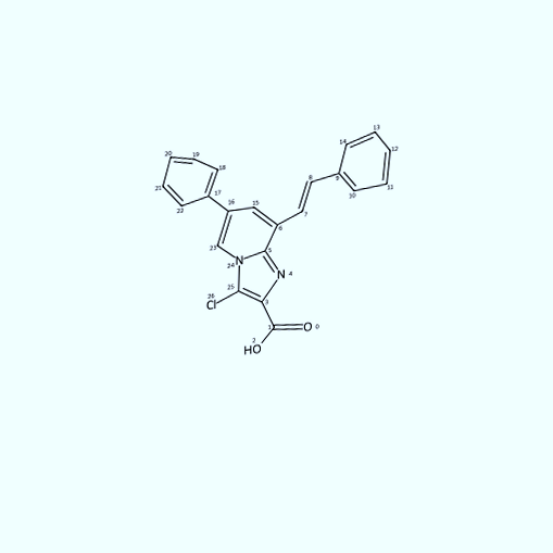 O=C(O)c1nc2c(C=Cc3ccccc3)cc(-c3ccccc3)cn2c1Cl